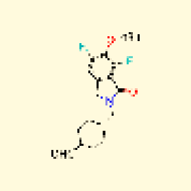 CCCCOc1c(F)cc2c(c1F)C(=O)N(C[C@H]1CC[C@H](C=O)CC1)C2